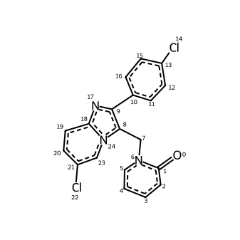 O=c1ccccn1Cc1c(-c2ccc(Cl)cc2)nc2ccc(Cl)cn12